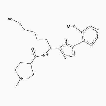 COc1ccccc1-c1cnc(C(CCCCCC(C)=O)NC(=O)C2CCN(C)CC2)[nH]1